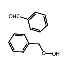 O=Cc1ccccc1.OOCc1ccccc1